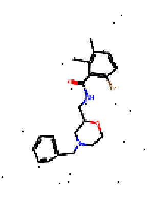 Cc1ccc(Br)c(C(=O)NCC2CN(Cc3ccccc3)CCO2)c1C